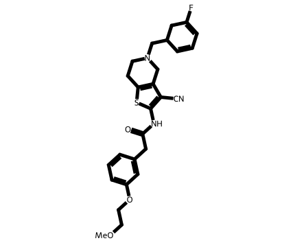 COCCOc1cccc(CC(=O)Nc2sc3c(c2C#N)CN(CC2C=CC=C(F)C2)CC3)c1